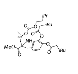 CCC(C)CC(=O)Oc1ccc(CC(N)(C[C@H](C)OC(=O)OCCC(C)C)C(=O)OC)cc1OC(=O)CC(C)CC